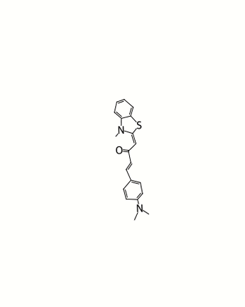 CN(C)c1ccc(C=CC(=O)C=C2Sc3ccccc3N2C)cc1